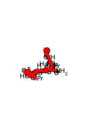 CCCC1O[C@@H]2C[C@H]3[C@@H]4C[C@H](F)C5=CC(=O)C=C[C@]5(C)[C@@]4(F)[C@@H](O)C[C@]3(C)[C@]2(C(=O)COc2ccc(NC(=O)OCc3ccc(NC(=O)[C@H](CCCNC(N)=O)NC(=O)[C@@H](NC(=O)[C@H](N)CCCCNC(=O)COC4C#CCCCCC4)C(C)C)cc3)cc2)O1